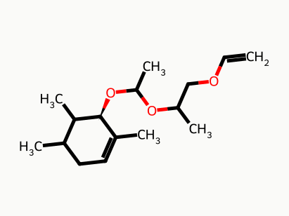 C=COCC(C)OC(C)O[C@H]1C(C)=CCC(C)C1C